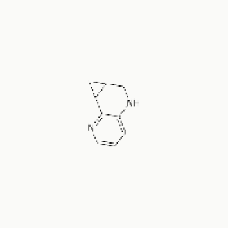 c1cnc2c(c1)NCC1CC21